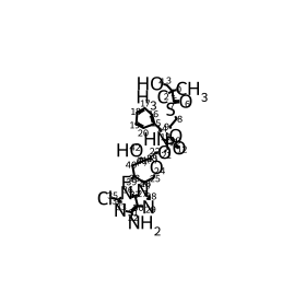 CC(C)(CO)C(=O)SCCOP(=O)(NCc1ccccc1)OC[C@H]1OC[C@@H](n2cnc3c(N)nc(Cl)nc32)C(F)C[C@H]1O